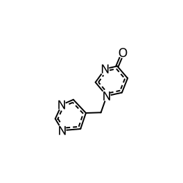 O=c1ccn(Cc2cncnc2)cn1